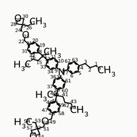 CCCCc1ccc(N(c2ccc(C(C)(CCC)c3ccc(COCC4(CC)COC4)cc3)cc2)c2ccc(C(C)(CCCC)c3ccc(COCC4(CC)COC4)cc3)cc2)cc1